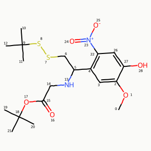 COc1cc(C(CSSC(C)(C)C)NCC(=O)OC(C)(C)C)c([N+](=O)[O-])cc1O